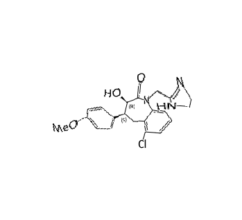 COc1ccc([C@@H]2Cc3c(Cl)cccc3N(CC3=NCCN3)C(=O)[C@@H]2O)cc1